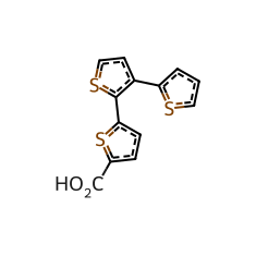 O=C(O)c1ccc(-c2sccc2-c2cccs2)s1